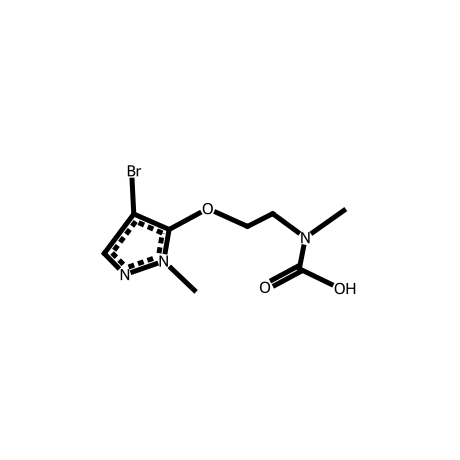 CN(CCOc1c(Br)cnn1C)C(=O)O